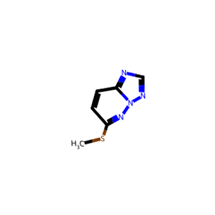 CSc1ccc2ncnn2n1